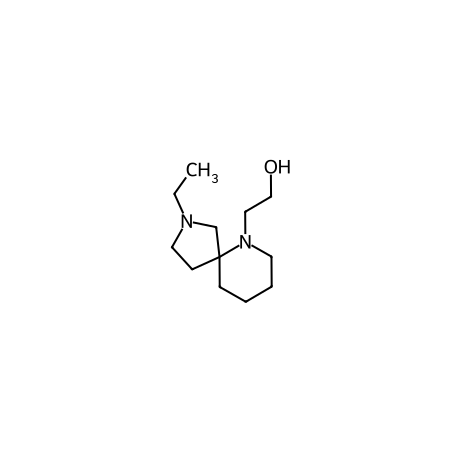 CCN1CCC2(CCCCN2CCO)C1